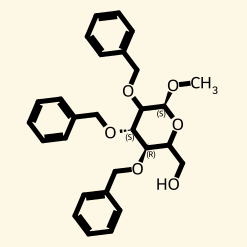 CO[C@H]1OC(CO)[C@@H](OCc2ccccc2)[C@H](OCc2ccccc2)C1OCc1ccccc1